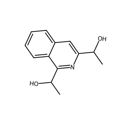 CC(O)c1cc2ccccc2c(C(C)O)n1